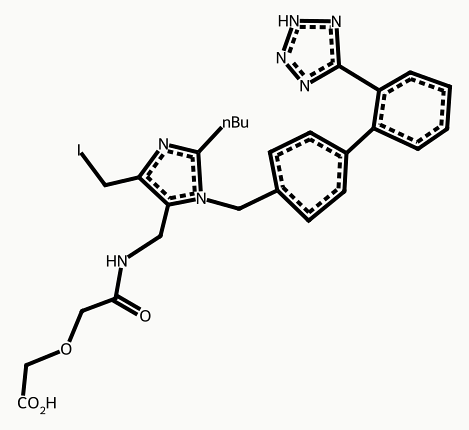 CCCCc1nc(CI)c(CNC(=O)COCC(=O)O)n1Cc1ccc(-c2ccccc2-c2nn[nH]n2)cc1